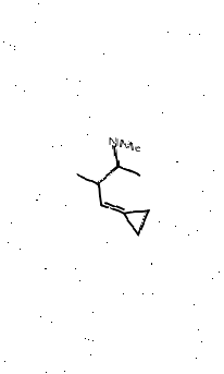 CNC(C)C(C)C=C1CC1